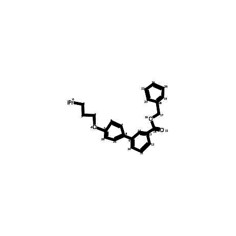 CC(C)CCCOc1ccc(-c2cccc(C(=O)OCc3ccccc3)c2)cc1